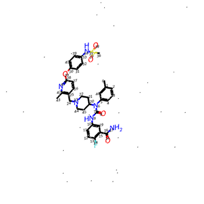 Cc1cccc(N(C(=O)Nc2ccc(F)c(C(N)=O)c2)C2CCN(Cc3ccc(Oc4ccc(NS(C)(=O)=O)cc4)nc3C)CC2)c1